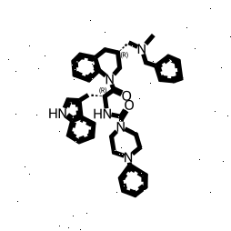 CN(Cc1ccccc1)C[C@H]1Cc2ccccc2N(C(=O)[C@@H](Cc2c[nH]c3ccccc23)NC(=O)N2CCN(c3ccccc3)CC2)C1